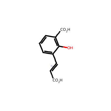 O=C(O)/C=C/c1c[c]cc(C(=O)O)c1O